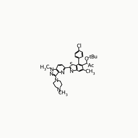 CC(=O)[C@@H](OC(C)(C)C)c1c(C)cc2nc(-c3ccc4c(n3)c(N3CCN(C)CC3)nn4C)sc2c1-c1ccc(Cl)cc1